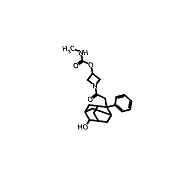 CNC(=O)OC1CN(C(=O)CC2(c3ccccc3)C3CC4CC2CC(C3)C4O)C1